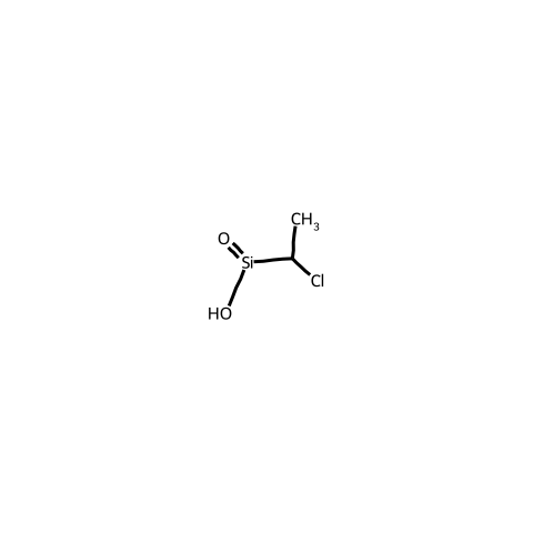 CC(Cl)[Si](=O)O